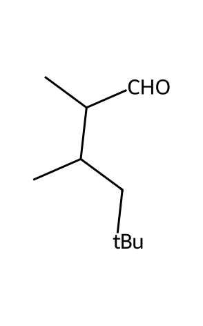 CC(C=O)C(C)CC(C)(C)C